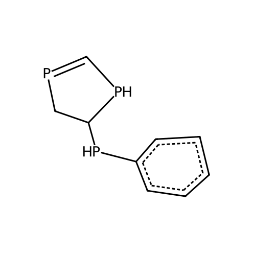 C1=PCC(Pc2ccccc2)P1